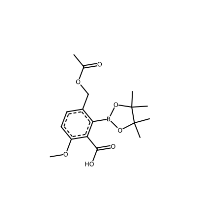 COc1ccc(COC(C)=O)c(B2OC(C)(C)C(C)(C)O2)c1C(=O)O